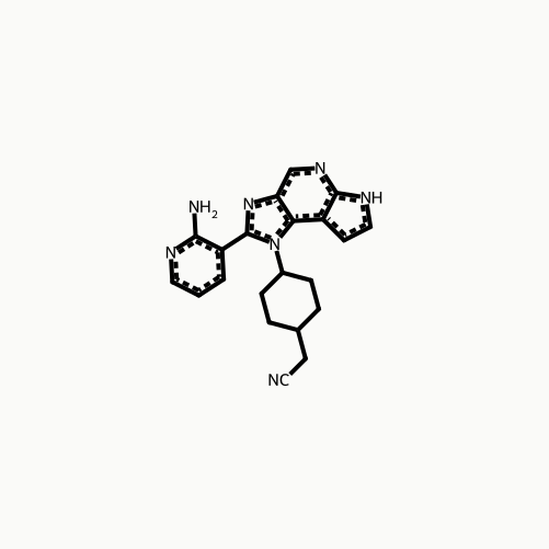 N#CCC1CCC(n2c(-c3cccnc3N)nc3cnc4[nH]ccc4c32)CC1